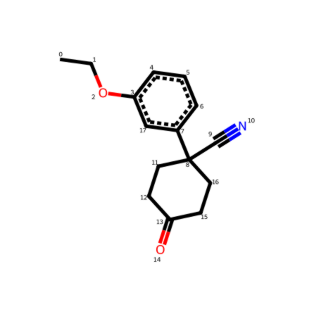 CCOc1cccc(C2(C#N)CCC(=O)CC2)c1